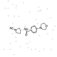 N#CN1CC[C@@H](NC(=O)c2ccc(N3CCOCC3)cc2)C1